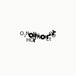 C=C(C)C(=O)OCCN(CC)c1ccc(N=Nc2nc3cc([N+](=O)[O-])ccc3n2CC(C)O)cc1